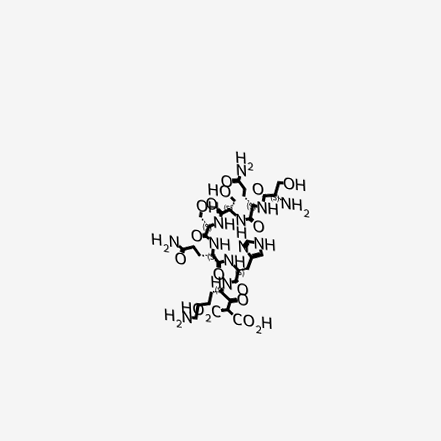 NCCCC[C@H](NC(=O)[C@H](Cc1c[nH]cn1)NC(=O)[C@H](CCC(N)=O)NC(=O)[C@H](CO)NC(=O)[C@H](CO)NC(=O)[C@H](CCC(N)=O)NC(=O)[C@@H](N)CO)C(=O)[C](C(=O)O)C(=O)O